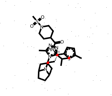 Cc1ccc([C@H](CCN2C3CCC2CC(n2c(C)nnc2C(C)C)C3)NC(=O)C2CCN(S(C)(=O)=O)CC2)s1